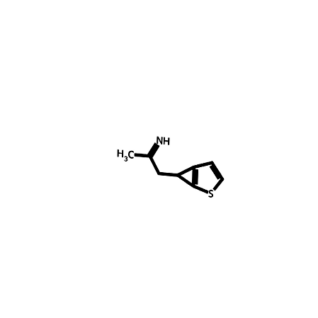 CC(=N)CC1c2ccsc21